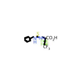 O=C(O)C(CNC(=S)NCc1ccccc1)C(F)(F)C(F)(F)C(F)(F)F